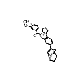 COc1cccc(C(=O)NCc2cc(-c3cn4c(n3)CCC4)ccc2N2CCCC2)c1